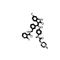 CN1CCN(CC(=O)N(C)c2ccc(N/C(=C3\C(=O)Nc4cc(F)ccc43)c3cccc(CNC(=O)C4=CC=CCC4=S)c3)cc2)CC1